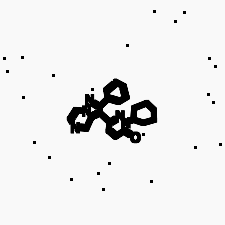 O=c1ccc(-c2c(-c3ccccc3)nn3ccncc23)nn1C1CCCCC1